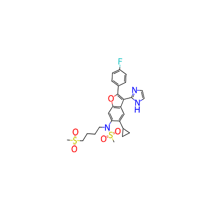 CS(=O)(=O)CCCCN(c1cc2oc(-c3ccc(F)cc3)c(-c3ncc[nH]3)c2cc1C1CC1)S(C)(=O)=O